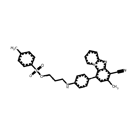 Cc1ccc(S(=O)(=O)OCCCNc2ccc(-c3cc(C)c(C#N)c4nc5ccccn5c34)cc2)cc1